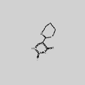 O=c1[nH]cc(C2OCCCO2)c(=O)[nH]1